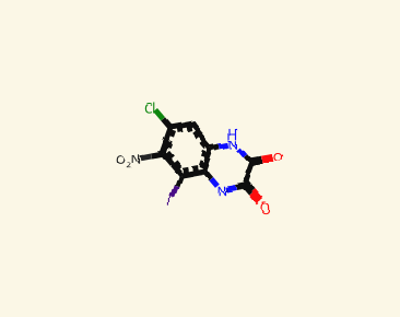 O=C1[N]c2c(cc(Cl)c([N+](=O)[O-])c2I)NC1=O